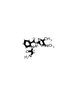 Cc1nc(NC(=O)c2ccccc2NC(=O)CN)sc1[N+](=O)[O-]